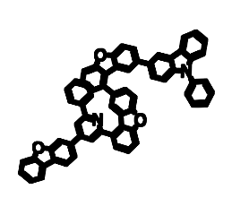 c1ccc(-c2cc(-c3ccc4c(c3)oc3ccccc34)cc(-c3cccc4oc5ccc(-c6cccc7oc8ccc(-c9ccc%10c(c9)c9ccccc9n%10-c9ccccc9)cc8c67)cc5c34)n2)cc1